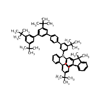 CC(C)(C)c1cc(-c2ccc(-c3cc(N(c4ccc5c(c4)C(C)(C)c4ccccc4-5)c4ccccc4-c4cccc(C(C)(C)C)c4)cc(C(C)(C)C)c3)cc2)cc(-c2cc(C(C)(C)C)cc(C(C)(C)C)c2)c1